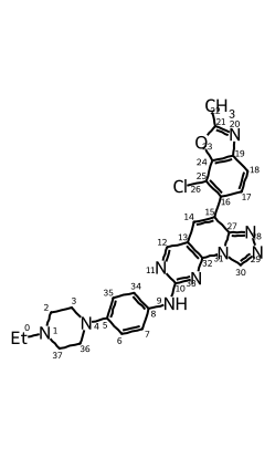 CCN1CCN(c2ccc(Nc3ncc4cc(-c5ccc6nc(C)oc6c5Cl)c5nncn5c4n3)cc2)CC1